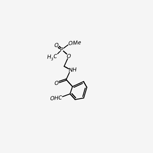 COP(C)(=O)OCNC(=O)c1ccccc1C=O